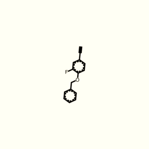 C#Cc1ccc(OCc2ccccc2)c(F)c1